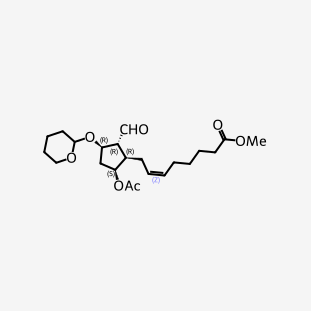 COC(=O)CCCC/C=C\C[C@@H]1[C@@H](C=O)[C@H](OC2CCCCO2)C[C@@H]1OC(C)=O